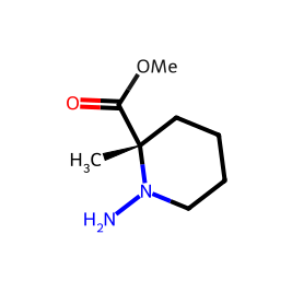 COC(=O)[C@]1(C)CCCCN1N